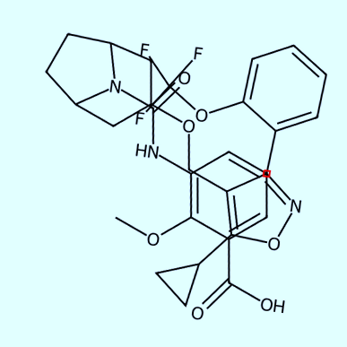 COc1c(NC(=O)N2C3CCC2CC(OCc2c(-c4ccccc4OC(F)(F)F)noc2C2CC2)C3)cccc1C(=O)O